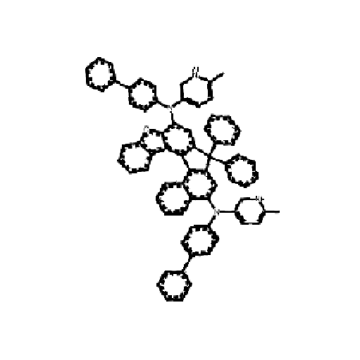 CC1=CC=C(N(c2ccc(-c3ccccc3)cc2)c2cc3c(c4ccccc24)-c2c(cc(N(C4=CC=C(C)NC4)c4ccc(-c5ccccc5)cc4)c4oc5ccccc5c24)C3(c2ccccc2)c2ccccc2)CN1